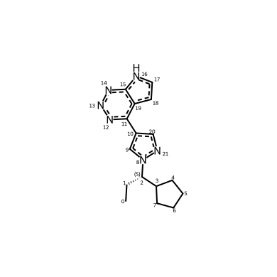 CC[C@@H](C1CCCC1)n1cc(-c2nnnc3[nH]ccc23)cn1